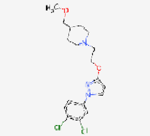 COCC1CCN(CCOc2ccn(-c3ccc(Cl)c(Cl)c3)n2)CC1